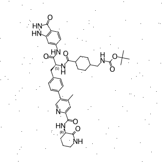 Cc1cc(C(=O)N[C@@H]2CCCNC2=O)ncc1-c1ccc(C[C@H](NC(=O)C2CCC(CNC(=O)OC(C)(C)C)CC2)C(=O)Nc2ccc3c(=O)[nH][nH]c3c2)cc1